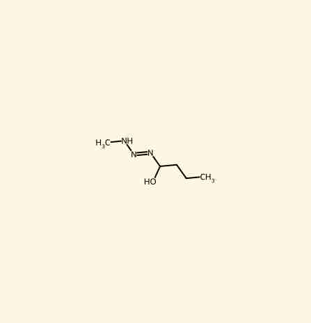 CCCC(O)N=NNC